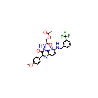 COc1ccc(-c2nc3ccc(NCc4cccc(C(F)(F)F)c4)nc3n(NC(=O)COC(C)=O)c2=O)cc1